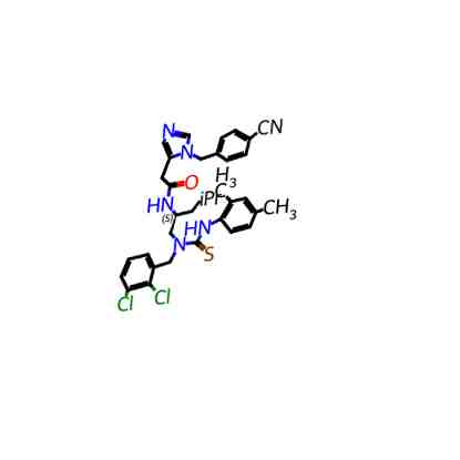 Cc1ccc(NC(=S)N(Cc2cccc(Cl)c2Cl)C[C@H](CC(C)C)NC(=O)Cc2cncn2Cc2ccc(C#N)cc2)c(C)c1